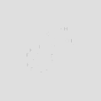 C=C(C)C(=O)OCC1(F)C(F)(F)C(F)(F)C(F)(F)C1(F)F